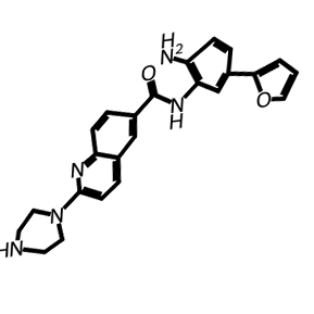 Nc1ccc(-c2ccco2)cc1NC(=O)c1ccc2nc(N3CCNCC3)ccc2c1